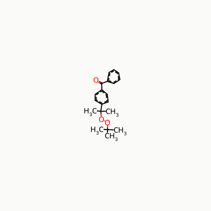 CC(C)(C)OOC(C)(C)c1ccc(C(=O)c2ccccc2)cc1